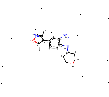 Cc1noc(C)c1-c1ccc(NC2CCOCC2)c(N)c1